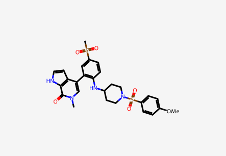 COc1ccc(S(=O)(=O)N2CCC(Nc3ccc(S(C)(=O)=O)cc3-c3cn(C)c(=O)c4[nH]ccc34)CC2)cc1